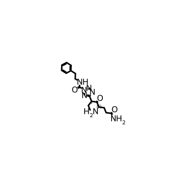 CC[C](C(=O)[C@@H](N)CCC(N)=O)c1nnn(C(=O)NCCc2ccccc2)n1